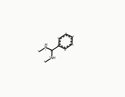 CNC(NC)c1ccccc1